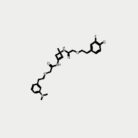 CN(C)c1cccc(CCOCC(=O)NC2=CC(C)(NC(=O)COCCc3ccc(Cl)c(F)c3)C2)c1